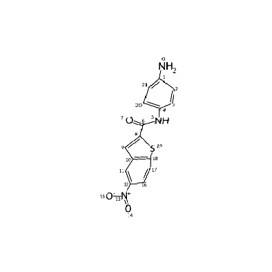 Nc1ccc(NC(=O)c2cc3cc([N+](=O)[O-])ccc3s2)cc1